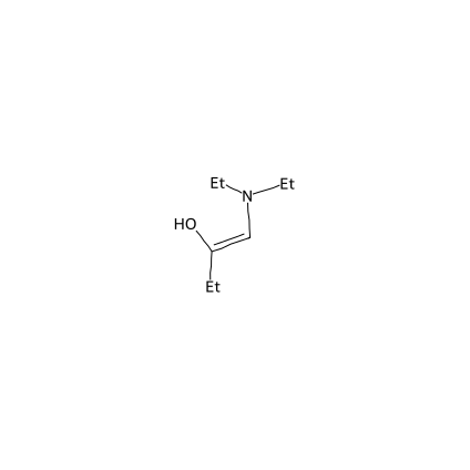 CCC(O)=CN(CC)CC